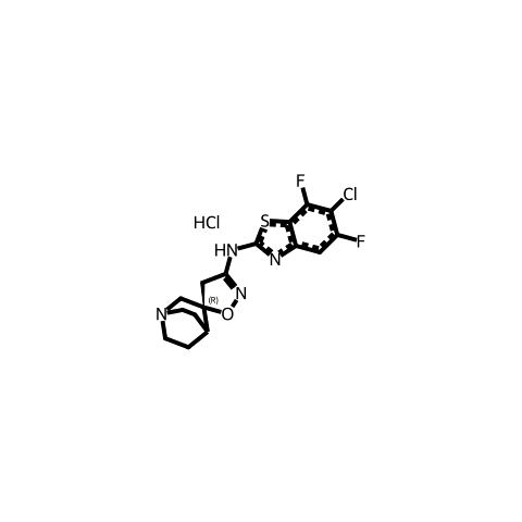 Cl.Fc1cc2nc(NC3=NO[C@@]4(C3)CN3CCC4CC3)sc2c(F)c1Cl